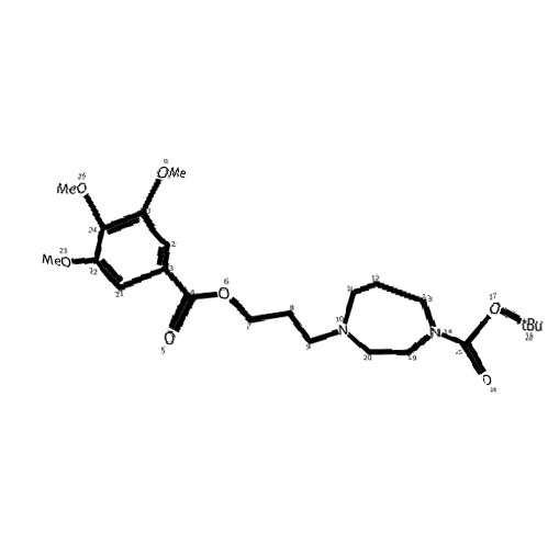 COc1cc(C(=O)OCCCN2CCCN(C(=O)OC(C)(C)C)CC2)cc(OC)c1OC